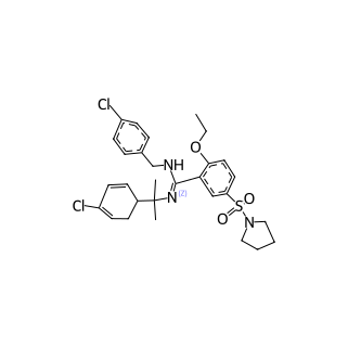 CCOc1ccc(S(=O)(=O)N2CCCC2)cc1/C(=N/C(C)(C)C1C=CC(Cl)=CC1)NCc1ccc(Cl)cc1